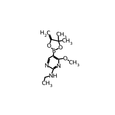 C=C1OB(c2cnc(NCC)nc2OC)OC1(C)C